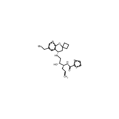 C=CC[C@H](NC(=O)c1nccs1)[C@H](O)CN[C@H]1CC2(CCC2)Oc2ncc(CC(C)(C)C)cc21